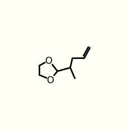 C=CCC(C)C1OCCO1